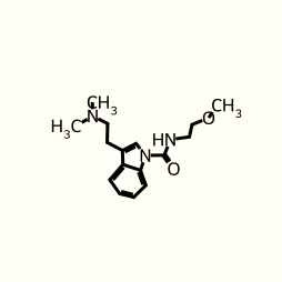 COCCNC(=O)n1cc(CCN(C)C)c2ccccc21